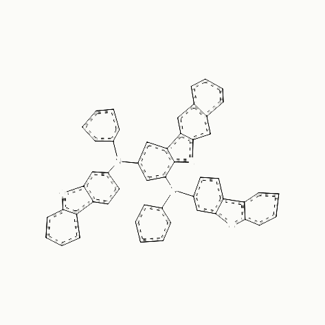 c1ccc(N(c2ccc3c(c2)oc2ccccc23)c2cc(N(c3ccccc3)c3ccc4c(c3)oc3ccccc34)c3sc4cc5ccccc5cc4c3c2)cc1